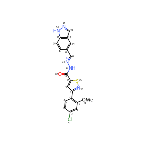 COc1cc(Cl)ccc1-c1cc(C(=O)N/N=C/c2ccc3[nH]ncc3c2)sn1